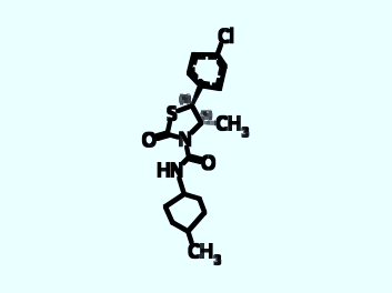 CC1CCC(NC(=O)N2C(=O)S[C@@H](c3ccc(Cl)cc3)[C@@H]2C)CC1